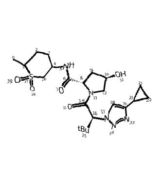 CC1CCC(NC(=O)[C@@H]2C[C@@H](O)CN2C(=O)[C@@H](n2cc(C3CC3)nn2)C(C)(C)C)CS1(=O)=O